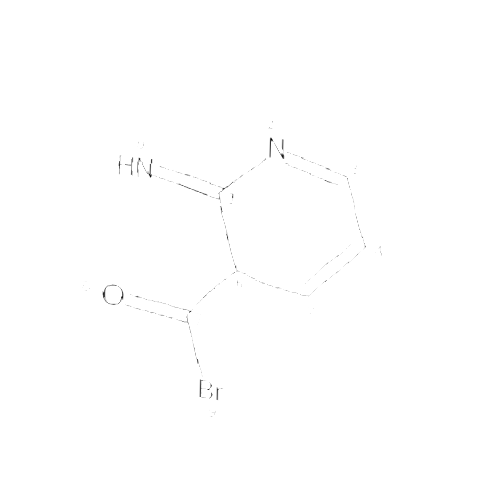 N=C1N=CC=CC1C(=O)Br